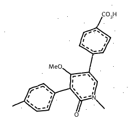 COc1c(-c2ccc(C(=O)O)cc2)cn(C)c(=O)c1-c1ccc(C)cc1